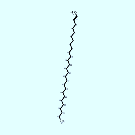 [CH2]/C=C/CCCCCCCCCCCCCCCCCCCCCCCC[CH2]